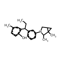 CCC(c1cccc(N2CC3CC3(C)C2C)c1)c1cc(C)ccc1O